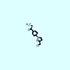 COC(=O)c1ccc(-n2ccc(C=O)n2)cc1